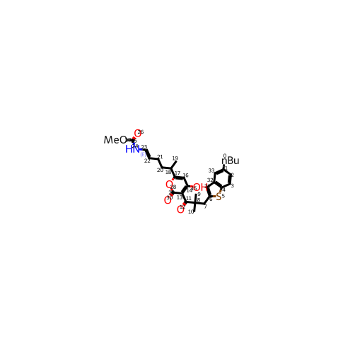 CCCCc1ccc2sc(CC(C)(C)C(=O)c3c(O)cc(C(C)CC/C=C/NC(=O)OC)oc3=O)cc2c1